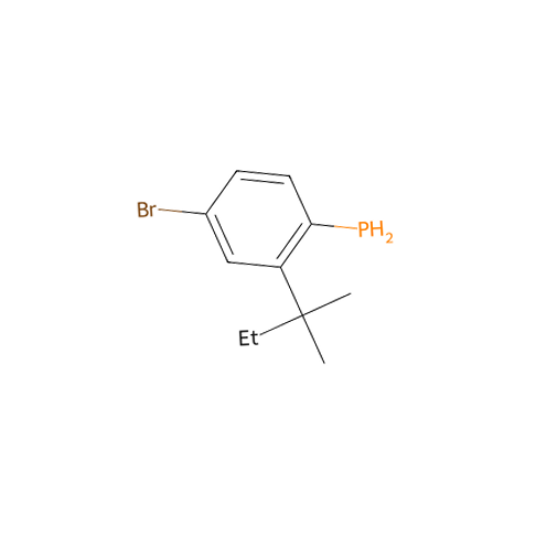 CCC(C)(C)c1cc(Br)ccc1P